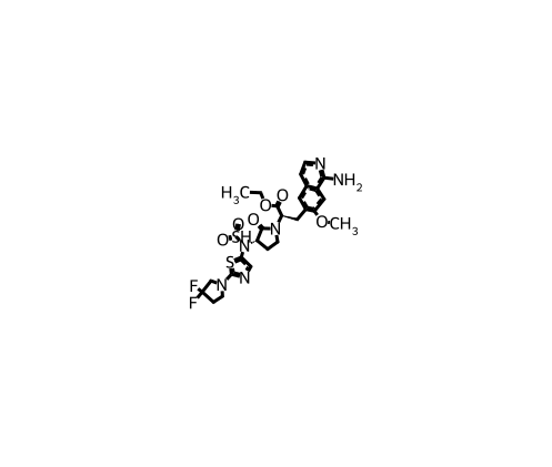 CCOC(=O)[C@@H](Cc1cc2ccnc(N)c2cc1OC)N1CC[C@H](N(c2cnc(N3CCC(F)(F)C3)s2)[SH](=O)=O)C1=O